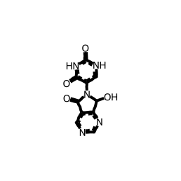 O=C1c2cncnc2C(O)N1c1c[nH]c(=O)[nH]c1=O